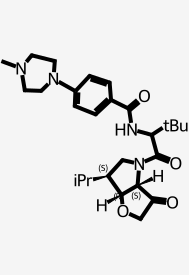 CC(C)[C@H]1CN(C(=O)C(NC(=O)c2ccc(N3CCN(C)CC3)cc2)C(C)(C)C)[C@@H]2C(=O)CO[C@H]12